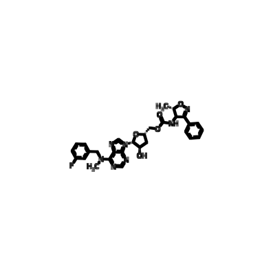 C[C@@H]1ON=C(c2ccccc2)C1NC(=O)OC[C@@H]1C[C@@H](O)[C@H](n2cnc3c(N(C)Cc4cccc(F)c4)ncnc32)O1